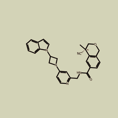 C[C@@]1(C#N)COCc2ccc(C(=O)NCc3cc(N4CC(n5ccc6ccccc65)C4)ccn3)cc21